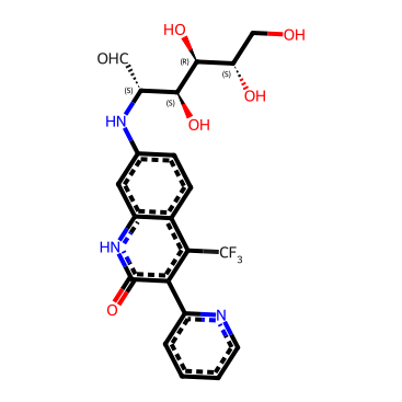 O=C[C@@H](Nc1ccc2c(C(F)(F)F)c(-c3ccccn3)c(=O)[nH]c2c1)[C@H](O)[C@@H](O)[C@@H](O)CO